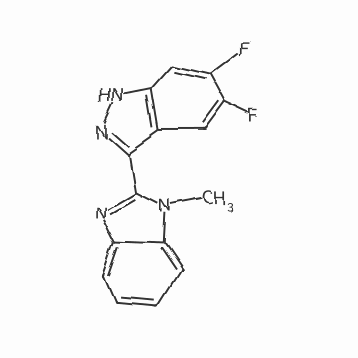 Cn1c(-c2n[nH]c3cc(F)c(F)cc23)nc2ccccc21